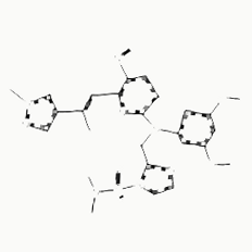 C=Nc1ccc(N(Cc2nccn2S(=O)(=O)N(C)C)c2cc(OC)cc(OC)c2)nc1/C=C(\C)c1cnn(C)c1